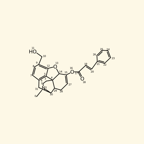 CN1CCC23c4c5ccc(CO)c4OC2C(OC(=O)/C=C/c2ccccc2)=CCC3C1C5